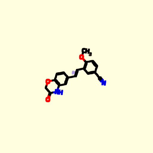 COc1ccc(C#N)cc1/C=C/c1ccc2c(c1)NC(=O)CO2